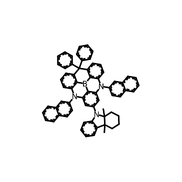 CC12CCCCC1(C)N(c1cc3c4c(c1)N(c1ccc5ccccc5c1)c1cccc5c1B4c1c(cccc1C5(c1ccccc1)c1ccccc1)N3c1ccc3ccccc3c1)c1ccccc12